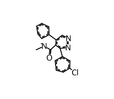 CN(C)C(=O)c1c(-c2ccccc2)cnnc1-c1cccc(Cl)c1